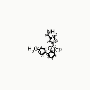 Cc1ccc(-c2ccccc2OCC2CC(CN)=NO2)cn1.Cl